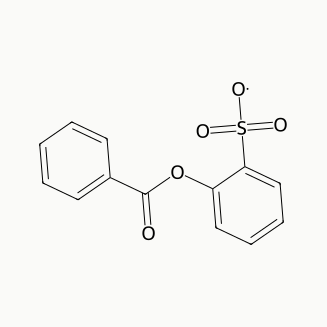 [O]S(=O)(=O)c1ccccc1OC(=O)c1ccccc1